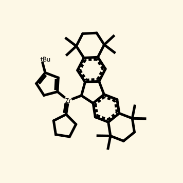 CC(C)(C)C1=CC[C]([Zr](=[C]2CCCC2)[CH]2c3cc4c(cc3-c3cc5c(cc32)C(C)(C)CCC5(C)C)C(C)(C)CCC4(C)C)=C1